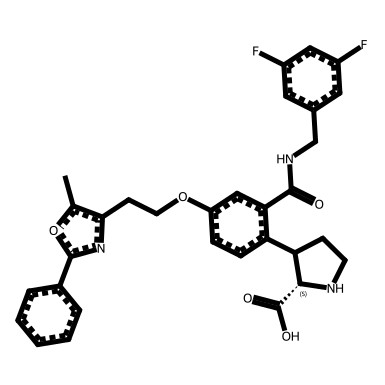 Cc1oc(-c2ccccc2)nc1CCOc1ccc(C2CCN[C@@H]2C(=O)O)c(C(=O)NCc2cc(F)cc(F)c2)c1